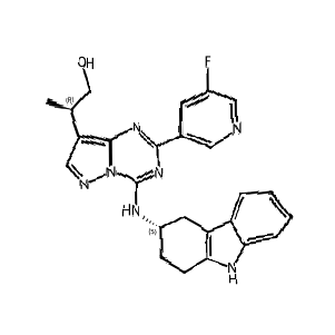 C[C@@H](CO)c1cnn2c(N[C@H]3CCc4[nH]c5ccccc5c4C3)nc(-c3cncc(F)c3)nc12